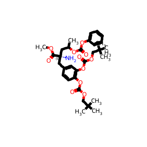 COC(=O)[C@](N)(Cc1ccc(OC(=O)OCC(C)(C)C)c(OC(=O)OCC(C)(C)C)c1)CC(C)OC(=O)Oc1ccccc1